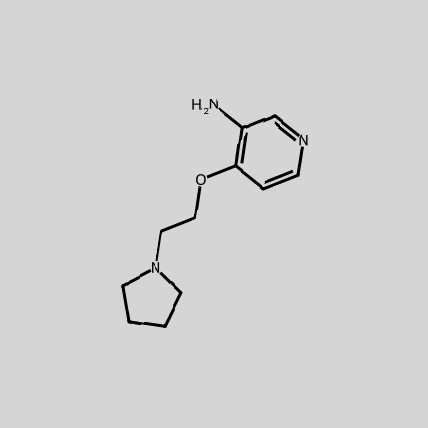 Nc1cnccc1OCCN1CCCC1